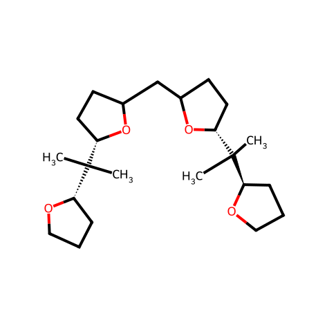 CC(C)([C@@H]1CCCO1)[C@@H]1CCC(CC2CC[C@H](C(C)(C)[C@H]3CCCO3)O2)O1